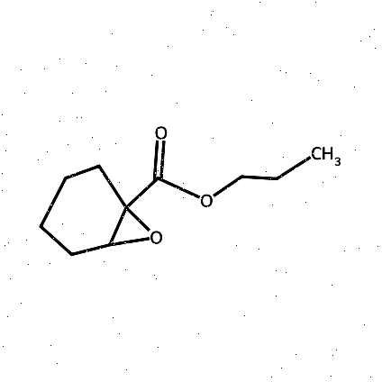 CCCOC(=O)C12CCCCC1O2